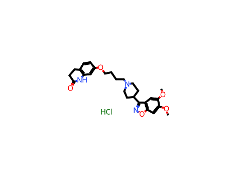 COc1cc2onc(C3CCN(CCCCOc4ccc5c(c4)NC(=O)CC5)CC3)c2cc1OC.Cl